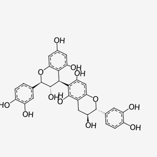 Oc1cc(O)c2c(c1)O[C@H](c1ccc(O)c(O)c1)[C@@H](O)[C@@H]2c1c(O)cc2c(c1O)C[C@H](O)[C@@H](c1ccc(O)c(O)c1)O2